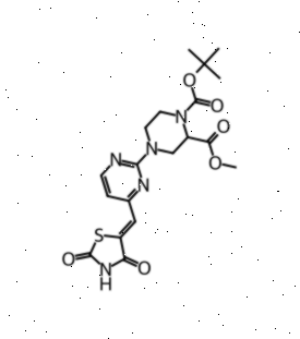 COC(=O)C1CN(c2nccc(/C=C3\SC(=O)NC3=O)n2)CCN1C(=O)OC(C)(C)C